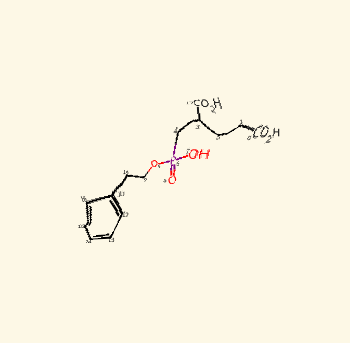 O=C(O)CCC(CP(=O)(O)OCCc1ccccc1)C(=O)O